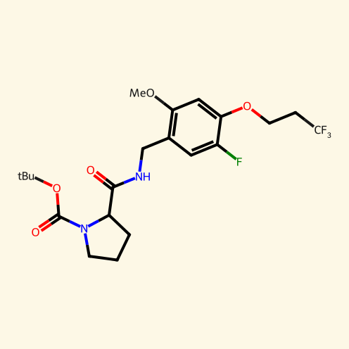 COc1cc(OCCC(F)(F)F)c(F)cc1CNC(=O)C1CCCN1C(=O)OC(C)(C)C